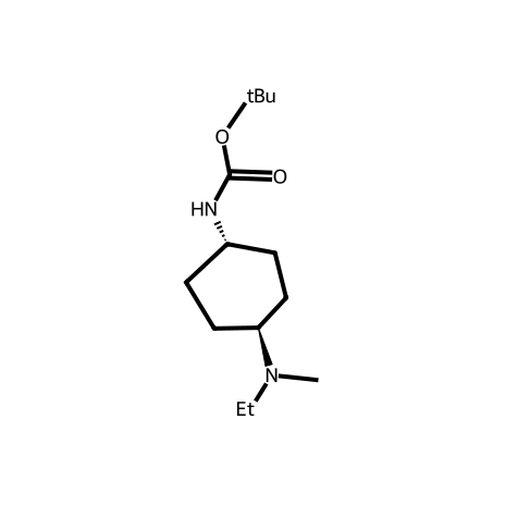 CCN(C)[C@H]1CC[C@H](NC(=O)OC(C)(C)C)CC1